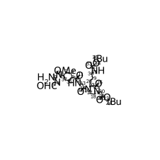 CON(C(N)=NC=O)c1ccc(C(=O)NCC(=O)N2CCN(CC(=O)OC(C)(C)C)C(=O)[C@@H]2CCCNC(=O)OC(C)(C)C)cc1